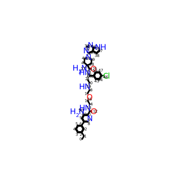 CCc1cccc(-c2cnc(C(=O)NCCOCCNCC[C@H](NC(=O)C3(N)CCN(c4ncnc5[nH]ccc45)CC3)c3ccc(Cl)cc3)c(N)c2)c1